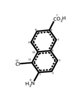 Nc1ccc2cc(C(=O)O)ccc2c1Cl